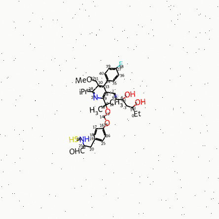 CC[C@H](O)C[C@H](O)/C=C/c1c(C(C)(C)OCOc2ccc(CC(C=O)NS)cc2)nc(C(C)C)c(COC)c1-c1ccc(F)cc1